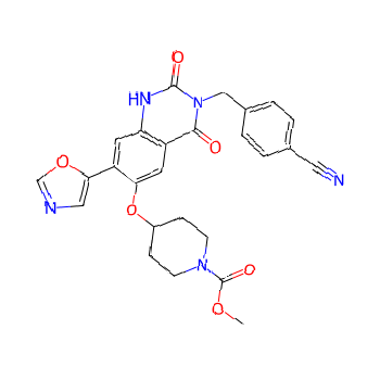 COC(=O)N1CCC(Oc2cc3c(=O)n(Cc4ccc(C#N)cc4)c(=O)[nH]c3cc2-c2cnco2)CC1